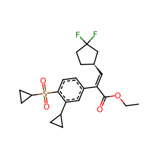 CCOC(=O)/C(=C/[C@H]1CCC(F)(F)C1)c1ccc(S(=O)(=O)C2CC2)c(C2CC2)c1